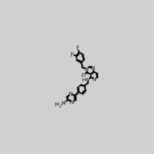 Nc1cnc(-c2ccc(CNc3nccc4ncn(Cc5ccc(F)c(F)c5)c(=O)c34)cc2)cn1